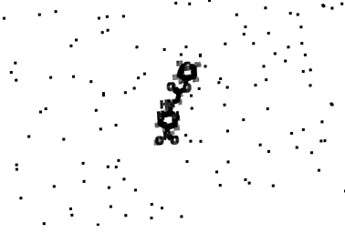 O=C(CNc1ncc([N+](=O)[O-])cn1)Oc1ccccc1